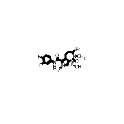 CN=S1(=O)c2cn(C)c(C(=O)Nc3ccc(F)c(F)c3)c2CCC(C(C)C)N1C